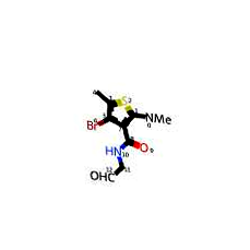 CNc1sc(C)c(Br)c1C(=O)NCC=O